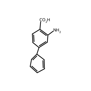 Nc1cc(-c2ccccc2)ccc1C(=O)O